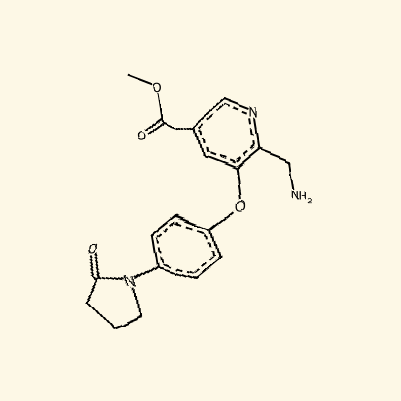 COC(=O)c1cnc(CN)c(Oc2ccc(N3CCCC3=O)cc2)c1